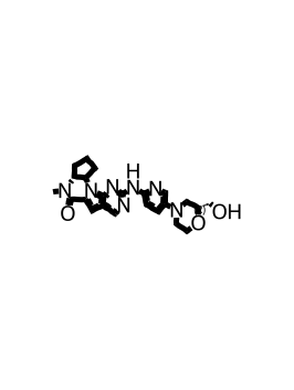 CN(C)C(=O)c1cc2cnc(Nc3ccc(N4CCO[C@@H](CO)C4)cn3)nc2n1C1CCCC1